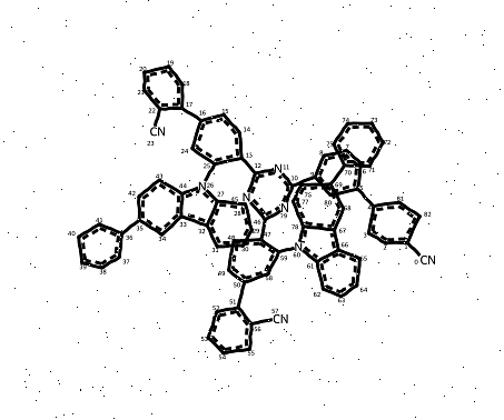 N#Cc1ccc(-c2cccc(-c3nc(-c4ccc(-c5ccccc5C#N)cc4-n4c5ccccc5c5cc(-c6ccccc6)ccc54)nc(-c4ccc(-c5ccccc5C#N)cc4-n4c5ccccc5c5cc(-c6ccccc6)ccc54)n3)c2)cc1